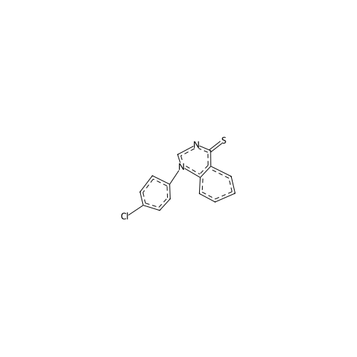 S=c1ncn(-c2ccc(Cl)cc2)c2ccccc12